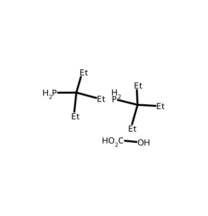 CCC(P)(CC)CC.CCC(P)(CC)CC.O=C(O)O